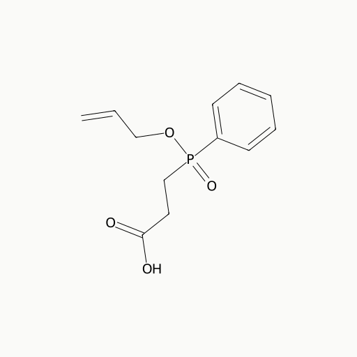 C=CCOP(=O)(CCC(=O)O)c1ccccc1